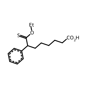 CCOC(=S)C(CCCCCC(=O)O)c1ccccc1